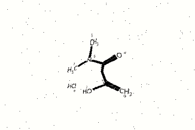 C=C(O)C(=O)N(C)C.Cl